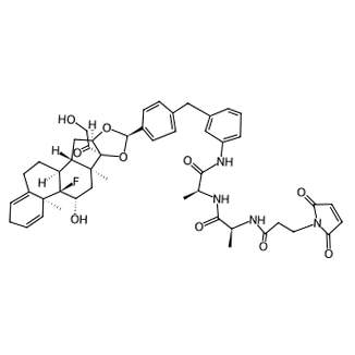 C[C@H](NC(=O)CCN1C(=O)C=CC1=O)C(=O)N[C@@H](C)C(=O)Nc1cccc(Cc2ccc([C@@H]3O[C@@H]4C[C@H]5[C@@H]6CCC7=CCC=C[C@]7(C)[C@@]6(F)[C@@H](O)C[C@]5(C)[C@]4(C(=O)CO)O3)cc2)c1